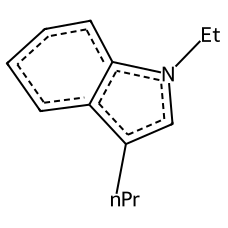 [CH2-][CH+]Cc1cn(CC)c2ccccc12